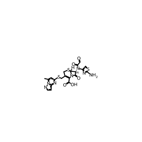 Cc1cc(SCC2=C(C(=O)O)N3C(=O)[C@@H](N(C(=O)C=O)c4csc(N)n4)[C@H]3SC2)nc2ccnn12